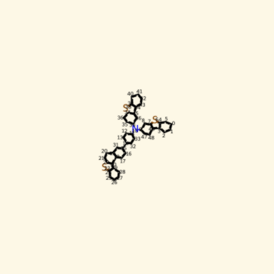 c1ccc2c(c1)sc1cc(N(c3ccc(-c4ccc5c(ccc6sc7ccccc7c65)c4)cc3)c3ccc4sc5ccccc5c4c3)ccc12